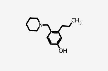 CCCc1cc(O)ccc1CN1CCCCC1